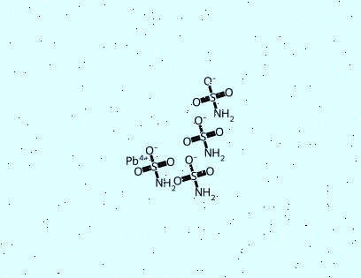 NS(=O)(=O)[O-].NS(=O)(=O)[O-].NS(=O)(=O)[O-].NS(=O)(=O)[O-].[Pb+4]